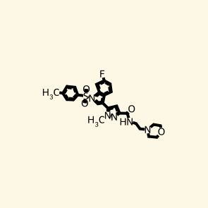 Cc1ccc(S(=O)(=O)n2cc(-c3cc(C(=O)NCCN4CCOCC4)nn3C)c3ccc(F)cc32)cc1